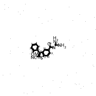 COc1ccccc1-c1c(C#N)sc2ccc(C(=O)N=C(N)N)cc12